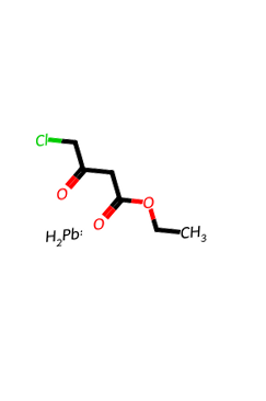 CCOC(=O)CC(=O)CCl.[PbH2]